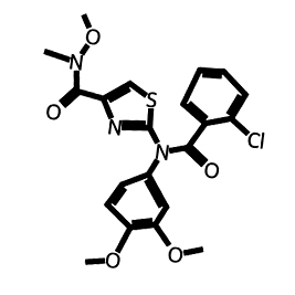 COc1ccc(N(C(=O)c2ccccc2Cl)c2nc(C(=O)N(C)OC)cs2)cc1OC